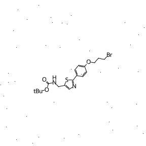 CC(C)(C)OC(=O)NCc1cnc(-c2ccc(OCCCBr)cc2)s1